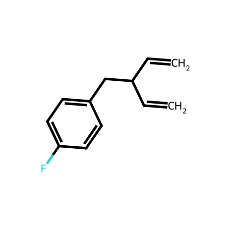 C=CC(C=C)Cc1ccc(F)cc1